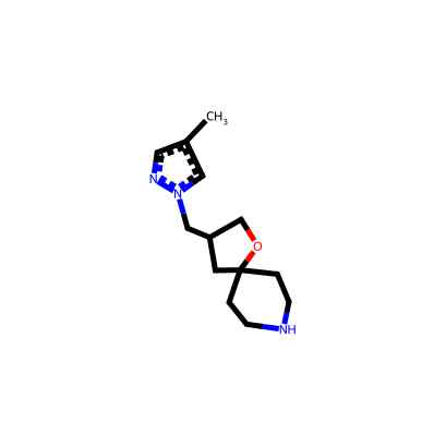 Cc1cnn(CC2COC3(CCNCC3)C2)c1